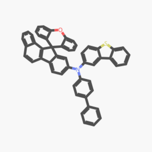 c1ccc(-c2ccc(N(c3ccc4c(c3)C3(c5ccccc5Oc5ccccc53)c3c-4ccc4ccccc34)c3ccc4sc5ccccc5c4c3)cc2)cc1